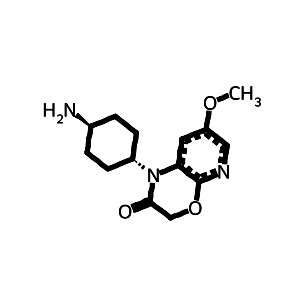 COc1cnc2c(c1)N([C@H]1CC[C@H](N)CC1)C(=O)CO2